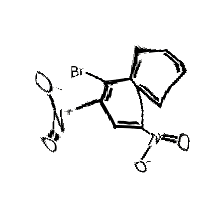 O=[N+]([O-])c1cc([N+](=O)[O-])c2ccccc2c1Br